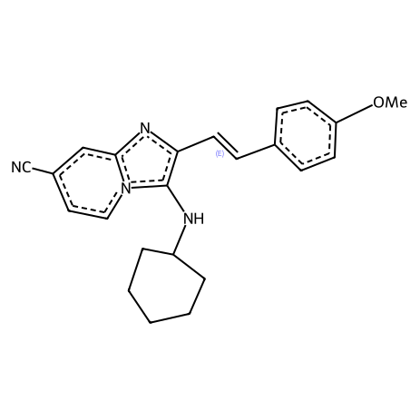 COc1ccc(/C=C/c2nc3cc(C#N)ccn3c2NC2CCCCC2)cc1